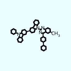 Cc1ccc2nc(-n3c4ccccc4c4cc(-c5ccc6c(c5)c5ccccc5n6-c5ccccc5)ccc43)nc(-c3ccc(-c4ccccc4)cc3)c2c1